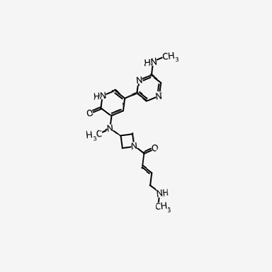 CNCC=CC(=O)N1CC(N(C)c2cc(-c3cncc(NC)n3)c[nH]c2=O)C1